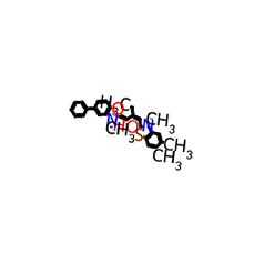 CCC(=CC1(O)Sc2cc(C)c(C)cc2N1C)C=C1Oc2ccc(-c3ccccc3)cc2N1C